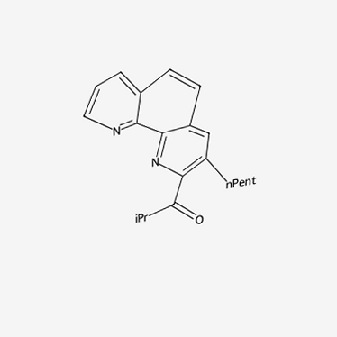 CCCCCc1cc2ccc3cccnc3c2nc1C(=O)C(C)C